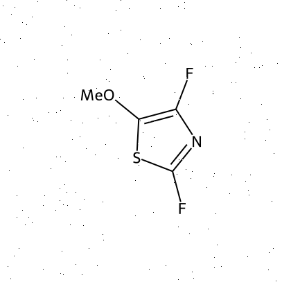 COc1sc(F)nc1F